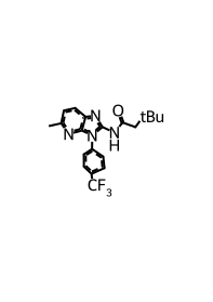 Cc1ccc2nc(NC(=O)CC(C)(C)C)n(-c3ccc(C(F)(F)F)cc3)c2n1